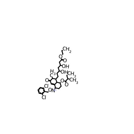 C=CCOC(=O)CC(O)CC(O)CCC1C(C)C(=O)C=C2/C(=N\OCc3c(Cl)cccc3Cl)CCC(OC(=O)C(C)CC)C21